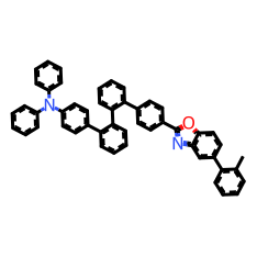 Cc1ccccc1-c1ccc2oc(-c3ccc(-c4ccccc4-c4ccccc4-c4ccc(N(c5ccccc5)c5ccccc5)cc4)cc3)nc2c1